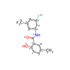 Cc1ccc(O)c(C(=O)Nc2cc(F)cc(C(F)(F)F)c2)c1